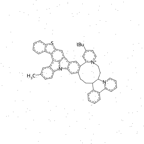 Cc1ccc2c(c1)c1c3c(cc4c5cc6c(cc5n2c41)CCC1c2ccccc2-c2cccc[n+]2C1CC[n+]1ccc(C(C)(C)C)cc1-6)sc1ccccc13